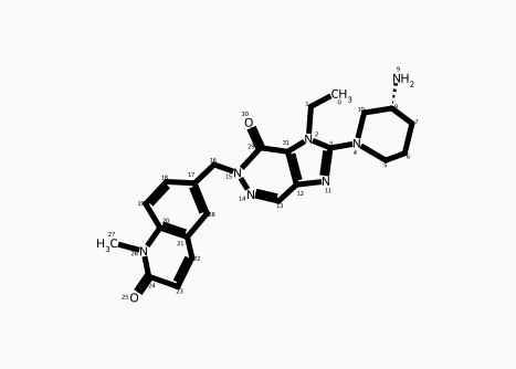 CCn1c(N2CCC[C@@H](N)C2)nc2cnn(Cc3ccc4c(ccc(=O)n4C)c3)c(=O)c21